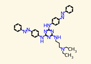 CCN(CC)CCCNc1nc(Nc2ccc(/N=N/c3ccccc3)cc2)nc(Nc2ccc(/N=N/c3ccccc3)cc2)n1